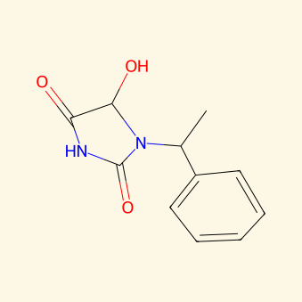 CC(c1ccccc1)N1C(=O)NC(=O)C1O